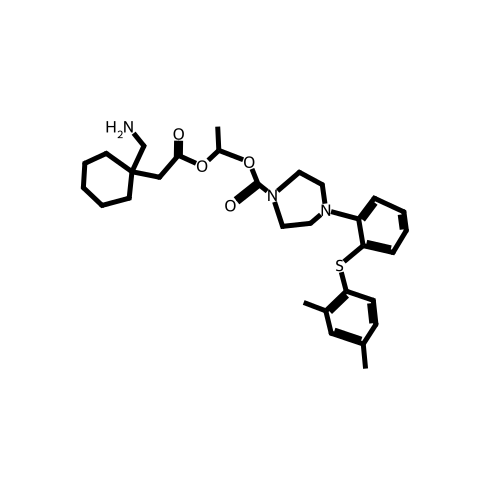 Cc1ccc(Sc2ccccc2N2CCN(C(=O)OC(C)OC(=O)CC3(CN)CCCCC3)CC2)c(C)c1